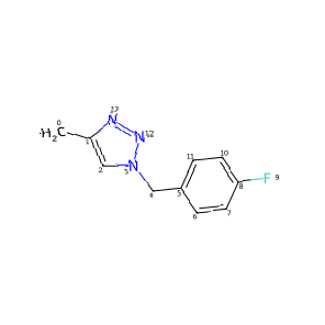 [CH2]c1cn(Cc2ccc(F)cc2)nn1